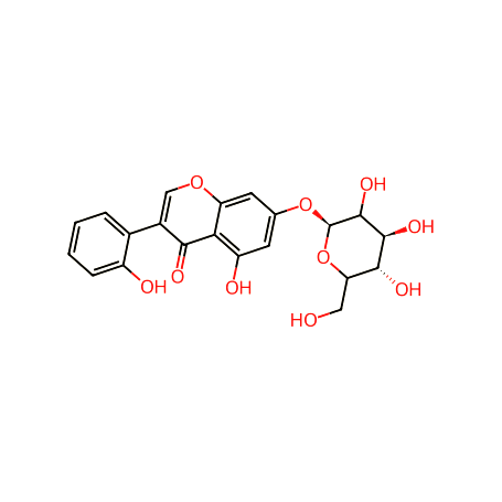 O=c1c(-c2ccccc2O)coc2cc(O[C@@H]3OC(CO)[C@@H](O)[C@H](O)C3O)cc(O)c12